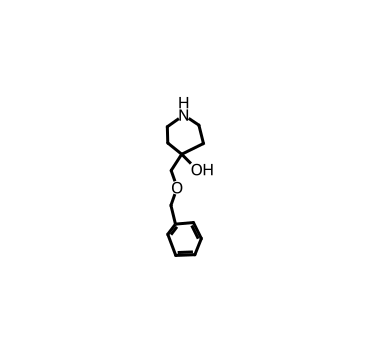 OC1(COCc2ccccc2)CCNCC1